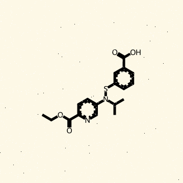 CCOC(=O)c1ccc(N(Sc2cccc(C(=O)O)c2)C(C)C)cn1